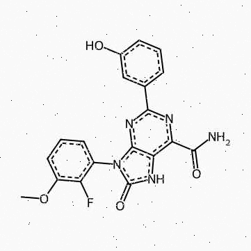 COc1cccc(-n2c(=O)[nH]c3c(C(N)=O)nc(-c4cccc(O)c4)nc32)c1F